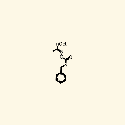 CCCCCCCCC(C)=NOC(=O)NCc1ccccc1